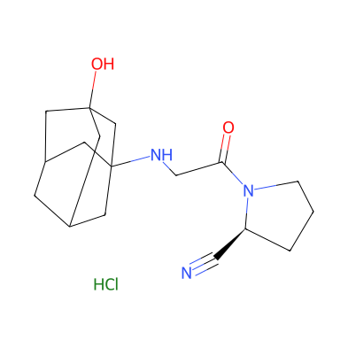 Cl.N#C[C@@H]1CCCN1C(=O)CNC12CC3CC(CC(O)(C3)C1)C2